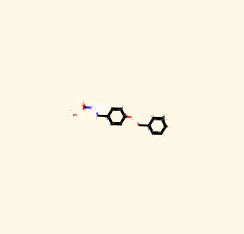 CC(C)(C)OC(=O)NCc1ccc(OCc2cccc(C=O)c2)cc1